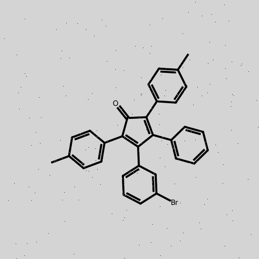 Cc1ccc(C2=C(c3ccccc3)C(c3cccc(Br)c3)=C(c3ccc(C)cc3)C2=O)cc1